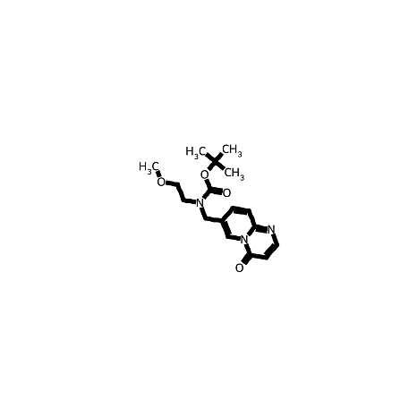 COCCN(Cc1ccc2nccc(=O)n2c1)C(=O)OC(C)(C)C